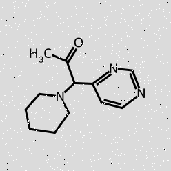 CC(=O)C(c1ccncn1)N1CCCCC1